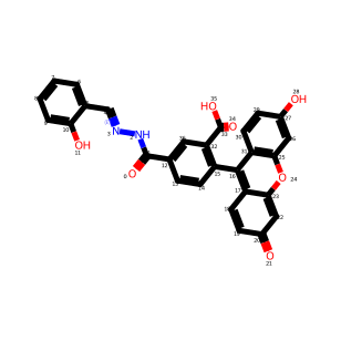 O=C(N/N=C/c1ccccc1O)c1ccc(-c2c3ccc(=O)cc-3oc3cc(O)ccc23)c(C(=O)O)c1